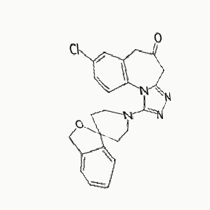 O=C1Cc2cc(Cl)ccc2-n2c(nnc2N2CCC3(CC2)OCc2ccccc23)C1